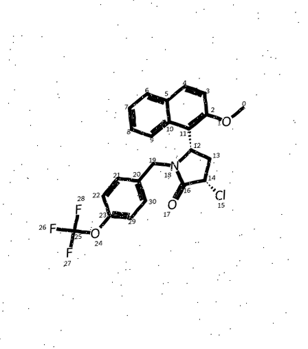 COc1ccc2ccccc2c1[C@@H]1C[C@H](Cl)C(=O)N1Cc1ccc(OC(F)(F)F)cc1